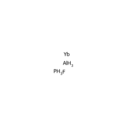 P.[AlH3].[F].[Yb]